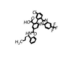 CCC[C@@H](NC(=O)c1ccc(-c2cc(Cl)ccc2-c2nc3cc(C(F)(F)F)ccc3[nH]2)c(C(=O)O)c1)c1ccccc1